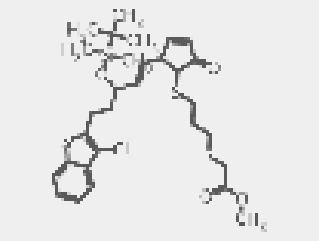 COC(=O)CSCCCSC1C(=O)C=CC1/C=C/C(CCc1sc2ccccc2c1Cl)O[Si](C)(C)C(C)(C)C